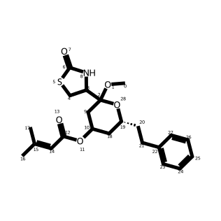 COC1(C2CSC(=O)N2)CC(OC(=O)C=C(C)C)C[C@@H](CCc2ccccc2)O1